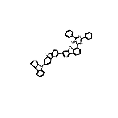 C1=CC(n2c3ccccc3c3ccccc32)Cc2oc3ccc(-c4ccc5c(c4)oc4c(C6N=C(c7ccccc7)N=C(c7ccccc7)N6)cccc45)cc3c21